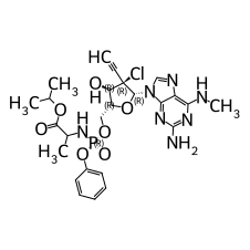 C#C[C@@]1(Cl)[C@H](O)[C@@H](CO[P@](=O)(NC(C)C(=O)OC(C)C)Oc2ccccc2)O[C@H]1n1cnc2c(NC)nc(N)nc21